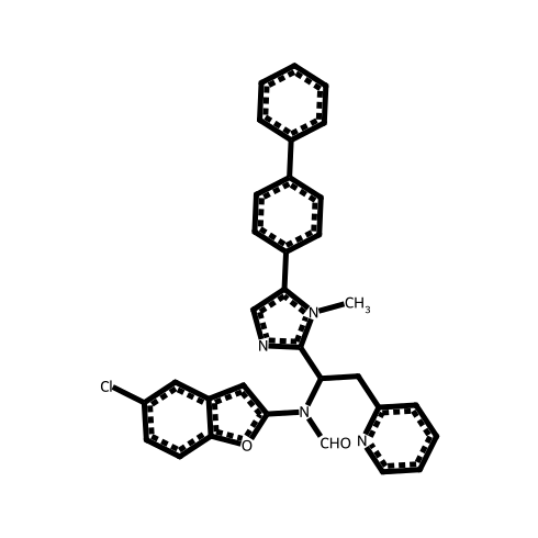 Cn1c(-c2ccc(-c3ccccc3)cc2)cnc1C(Cc1ccccn1)N(C=O)c1cc2cc(Cl)ccc2o1